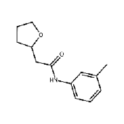 Cc1cccc(NC(=O)CC2CCCO2)c1